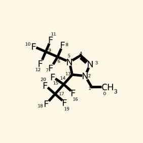 CCN1N=CN(C(F)(F)C(F)(F)F)C1C(F)(F)C(F)(F)F